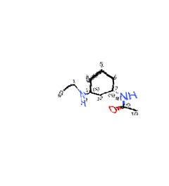 CCN[C@H]1CCC[C@H](NC(C)=O)C1